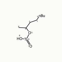 CCCCCCC(C)[O][Ti](=[O])[OH]